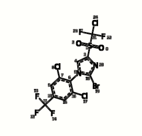 O=S(=O)(c1cn(-c2c(Cl)cc(C(F)(F)F)cc2Cl)c(Br)n1)C(F)(F)Cl